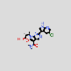 C[C@H]([C@@H](C)C(=O)O)n1cc(C(=O)N(C)C)c2cnc(-c3c[nH]c4ncc(Cl)cc34)nc21